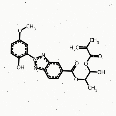 C=C(C)C(=O)OC(O)C(C)OC(=O)c1ccc2nn(-c3cc(OC)ccc3O)nc2c1